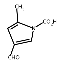 Cc1cc(C=O)cn1C(=O)O